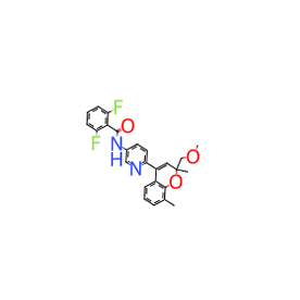 COCC1(C)C=C(c2ccc(NC(=O)c3c(F)cccc3F)cn2)c2cccc(C)c2O1